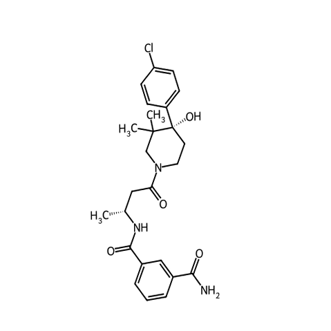 C[C@H](CC(=O)N1CC[C@](O)(c2ccc(Cl)cc2)C(C)(C)C1)NC(=O)c1cccc(C(N)=O)c1